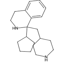 c1ccc2c(c1)CCNC2(CC1CCNCC1)C1CCCC1